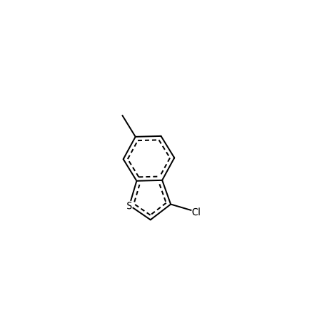 Cc1ccc2c(Cl)csc2c1